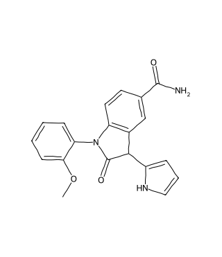 COc1ccccc1N1C(=O)C(c2ccc[nH]2)c2cc(C(N)=O)ccc21